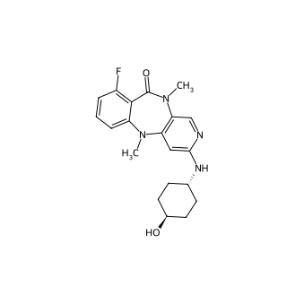 CN1C(=O)c2c(F)cccc2N(C)c2cc(N[C@H]3CC[C@H](O)CC3)ncc21